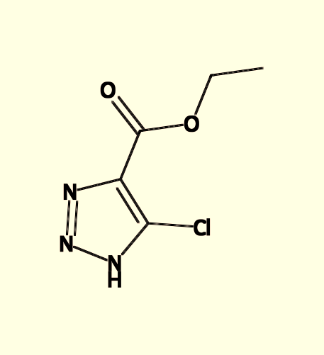 CCOC(=O)c1nn[nH]c1Cl